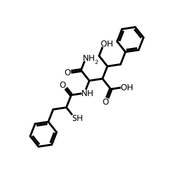 NC(=O)C(NC(=O)C(S)Cc1ccccc1)C(C(=O)O)C(CO)Cc1ccccc1